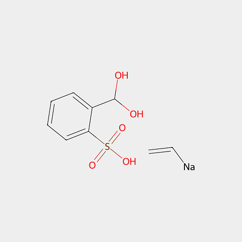 C=[CH][Na].O=S(=O)(O)c1ccccc1C(O)O